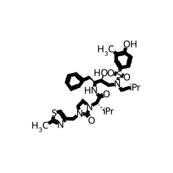 Cc1nc(CN2CCN([C@H](C(=O)N[C@@H](Cc3ccccc3)[C@H](O)CN(CC(C)C)S(=O)(=O)c3ccc(O)c(C)c3)C(C)C)C2=O)cs1